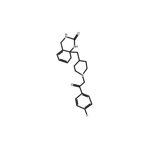 O=C1NCC2=CC=CCC2(CC2CCN(CC(=O)c3ccc(F)cc3)CC2)N1